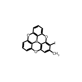 Cc1cc2c3c(c1I)Oc1cccc4c1B3c1c(cccc1O2)O4